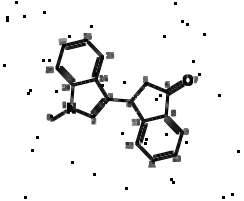 Cn1cc(C2CC(=O)c3ccccc32)c2ccccc21